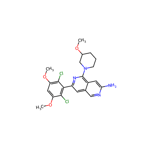 COc1cc(OC)c(Cl)c(-c2cc3cnc(N)cc3c(N3CCCC(OC)C3)n2)c1Cl